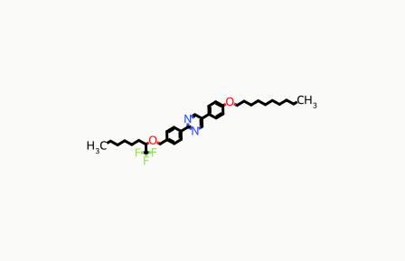 CCCCCCCCCCOc1ccc(-c2cnc(-c3ccc(COC(CCCCCC)C(F)(F)F)cc3)nc2)cc1